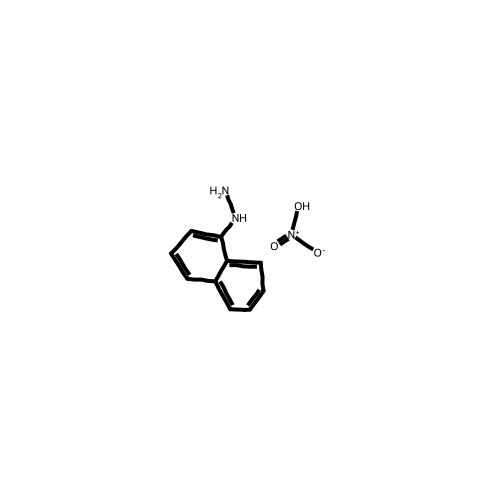 NNc1cccc2ccccc12.O=[N+]([O-])O